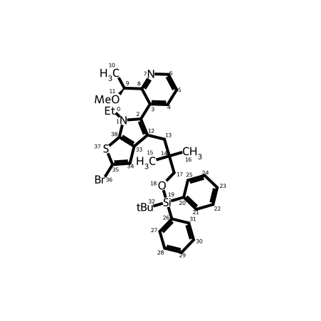 CCn1c(-c2cccnc2[C@H](C)OC)c(CC(C)(C)CO[Si](c2ccccc2)(c2ccccc2)C(C)(C)C)c2cc(Br)sc21